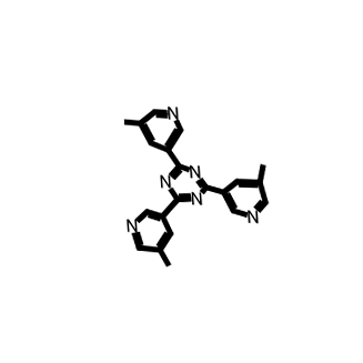 Cc1cncc(-c2nc(-c3cncc(C)c3)nc(-c3cncc(C)c3)n2)c1